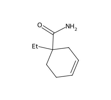 CCC1(C(N)=O)CC=CCC1